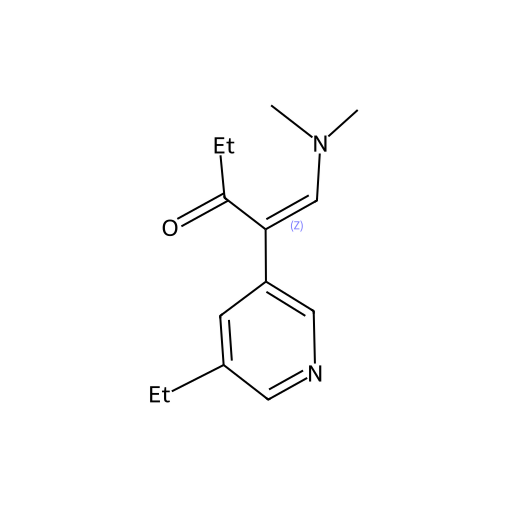 CCC(=O)/C(=C\N(C)C)c1cncc(CC)c1